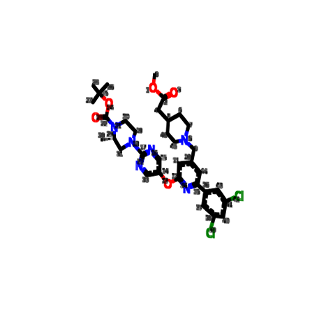 COC(=O)CC1CCN(Cc2cc(Oc3cnc(N4CCN(C(=O)OC(C)(C)C)[C@@H](C)C4)nc3)nc(-c3cc(Cl)cc(Cl)c3)c2)CC1